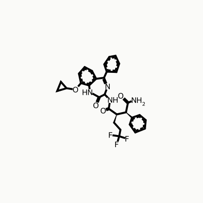 NC(=O)[C@@H](c1ccccc1)[C@@H](CCC(F)(F)F)C(=O)NC1N=C(c2ccccc2)c2cccc(OC3CC3)c2NC1=O